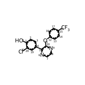 Oc1ccc(-c2nccnc2Oc2ccc(C(F)(F)F)cc2)cc1Cl